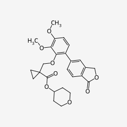 COc1ccc(-c2ccc3c(c2)COC3=O)c(OCC2(C(=O)OC3CCOCC3)CC2)c1OC